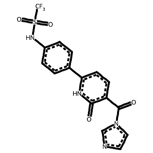 O=C(c1ccc(-c2ccc(NS(=O)(=O)C(F)(F)F)cc2)[nH]c1=O)n1ccnc1